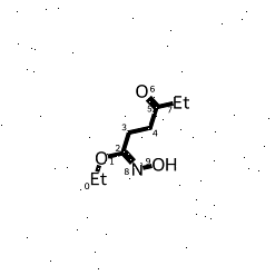 CCOC(CCC(=O)CC)=NO